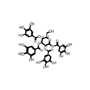 O=C(OC1O[C@H](CO)[C@@H](OC(=O)c2cc(O)c(O)c(O)c2)[C@H](OC(=O)c2cc(O)c(O)c(O)c2)[C@H]1OC(=O)c1cc(O)c(O)c(O)c1)c1cc(O)c(O)c(O)c1